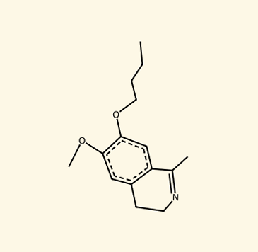 CCCCOc1cc2c(cc1OC)CCN=C2C